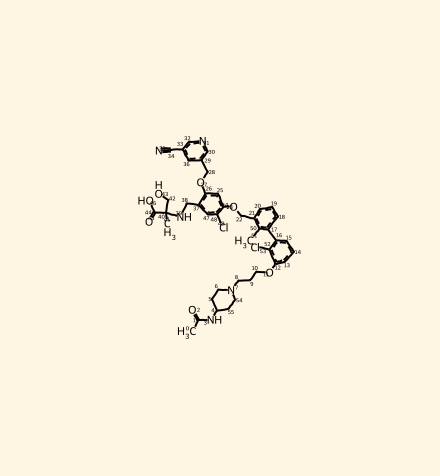 CC(=O)NC1CCN(CCCOc2cccc(-c3cccc(COc4cc(OCc5cncc(C#N)c5)c(CNC(C)(CO)C(=O)O)cc4Cl)c3C)c2Cl)CC1